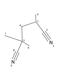 CC(C#N)CC(C)(C)C#N